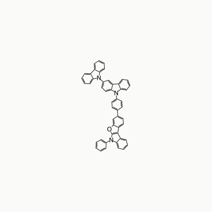 c1ccc(-n2c3ccccc3c3c4ccc(-c5ccc(-n6c7ccccc7c7cc(-n8c9ccccc9c9ccccc98)ccc76)cc5)cc4oc32)cc1